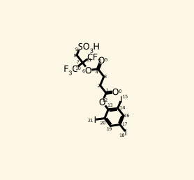 O=C(CCC(=O)OC(CS(=O)(=O)O)(C(F)(F)F)C(F)(F)F)Oc1c(I)cc(I)cc1I